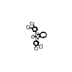 O=c1n(-c2ccc(Cl)c(Cl)c2)c2c(n1-c1ccc(Cl)c(Cl)c1)C=CCC=C2